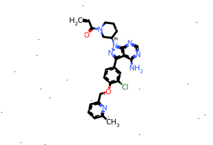 C=CC(=O)N1CCC[C@@H](n2nc(-c3ccc(OCc4cccc(C)n4)c(Cl)c3)c3c(N)ncnc32)C1